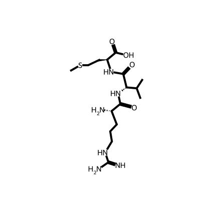 CSCC[C@H](NC(=O)[C@@H](NC(=O)[C@@H](N)CCCNC(=N)N)C(C)C)C(=O)O